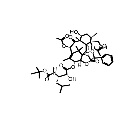 CC(=O)O[C@H]1C(=O)[C@@]2(C)[C@H]([C@H](OC(=O)c3ccccc3)[C@]34OC(=O)O[C@H]3[C@H](OC(=O)[C@H](O)[C@H](CC(C)C)NC(=O)OC(C)(C)C)C(C)=C1C4(C)C)[C@@](CO)(OC(C)=O)[C@H](C)C[C@@H]2O